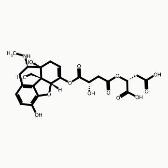 CC[C@]12c3c4ccc(O)c3O[C@H]1C(OC(=O)[C@@H](O)CC(=O)O[C@H](CC(=O)O)C(=O)O)=CC[C@@]2(O)[C@H](NC)C4